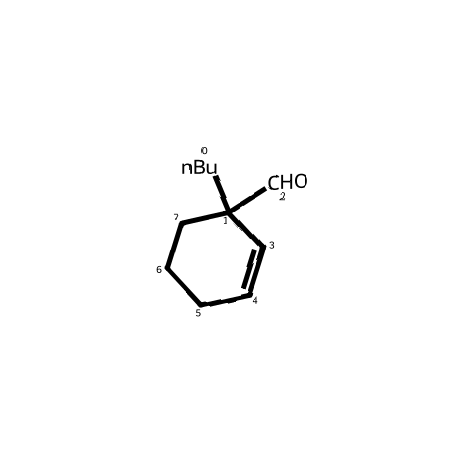 CCCCC1(C=O)C=CCCC1